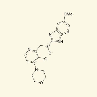 COc1ccc2[nH]c([S+]([O-])Cc3nccc(N4CCOCC4)c3Cl)nc2c1